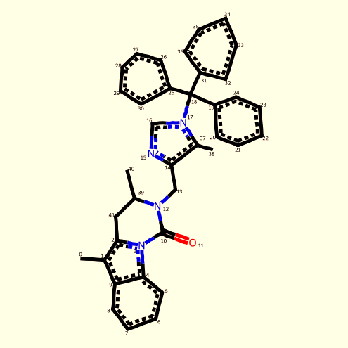 Cc1c2n(c3ccccc13)C(=O)N(Cc1ncn(C(c3ccccc3)(c3ccccc3)c3ccccc3)c1C)C(C)C2